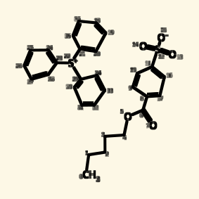 CCCCCOC(=O)c1ccc(S(=O)(=O)[O-])cc1.c1ccc([S+](c2ccccc2)c2ccccc2)cc1